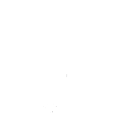 Br.C=CCCCCCCCCCCCCc1ncc[nH]1